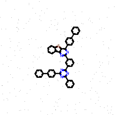 c1ccc(-c2ccc(-c3nc(-c4ccccc4)nc(-c4cccc(-c5nc(-c6ccc(-c7ccccc7)cc6)c6sc7ccccc7c6n5)c4)n3)cc2)cc1